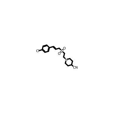 N#CC1CCN(CCS(=O)(=O)CC=Cc2ccc(Cl)cc2)CC1